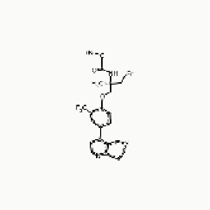 CC(C)C[C@@](C)(COc1ccc(-c2ccnc3ccncc23)cc1C(F)(F)F)NC(=O)OC(C)(C)C